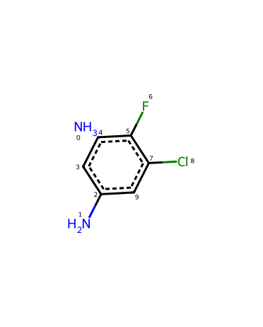 N.Nc1ccc(F)c(Cl)c1